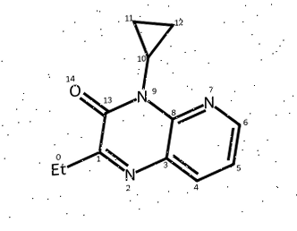 CCc1nc2cccnc2n(C2CC2)c1=O